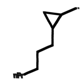 [CH2]C1CC1CCCCCC